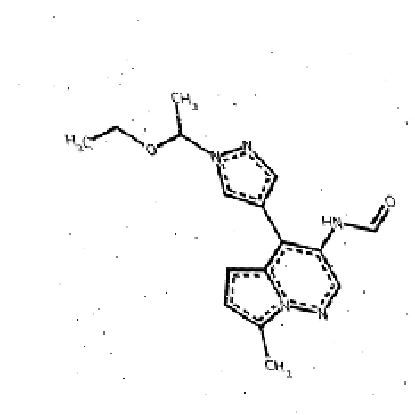 CCOC(C)n1cc(-c2c(NC=O)cnn3c(C)ccc23)cn1